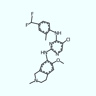 COc1cc2c(cc1Nc1ncc(Cl)c(Nc3ccc(C(F)F)cc3C)n1)CN(C)CC2